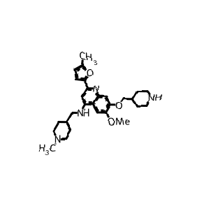 COc1cc2c(NCC3CCN(C)CC3)cc(-c3ccc(C)o3)nc2cc1OCC1CCNCC1